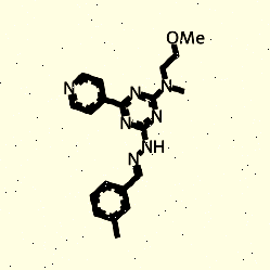 COCCN(C)c1nc(NN=Cc2cccc(C)c2)nc(-c2ccncc2)n1